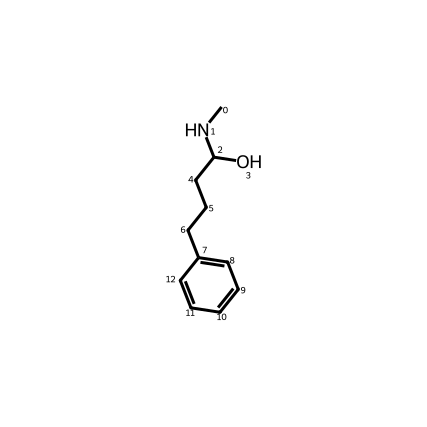 CNC(O)CCCc1ccccc1